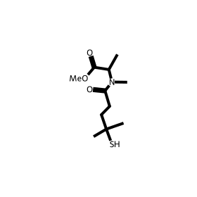 COC(=O)C(C)N(C)C(=O)CCC(C)(C)S